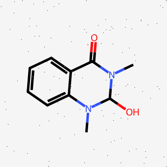 CN1C(=O)c2ccccc2N(C)C1O